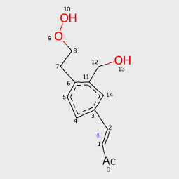 CC(=O)/C=C/c1ccc(CCOO)c(CO)c1